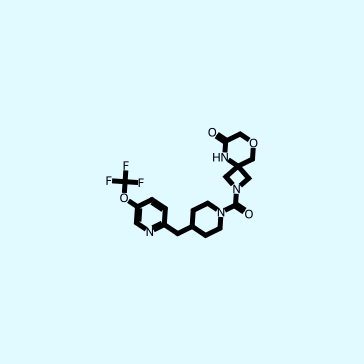 O=C1COCC2(CN(C(=O)N3CCC(Cc4ccc(OC(F)(F)F)cn4)CC3)C2)N1